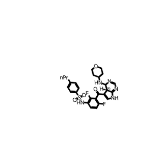 CCCc1ccc(S(=O)(=O)Nc2ccc(F)c(C(=O)C3=CNC4=NC=NC(NC5CCOCC5)[C@@H]34)c2F)cc1